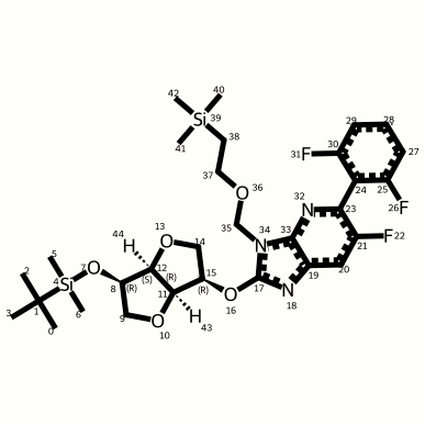 CC(C)(C)[Si](C)(C)O[C@@H]1CO[C@H]2[C@@H]1OC[C@H]2Oc1nc2cc(F)c(-c3c(F)c[c]cc3F)nc2n1COCC[Si](C)(C)C